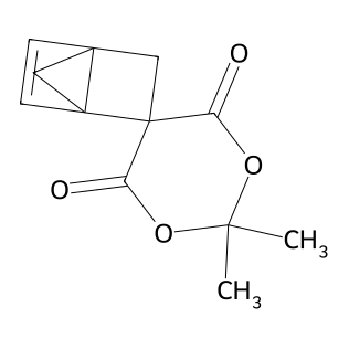 CC1(C)OC(=O)C2(CC34C=CC32C4)C(=O)O1